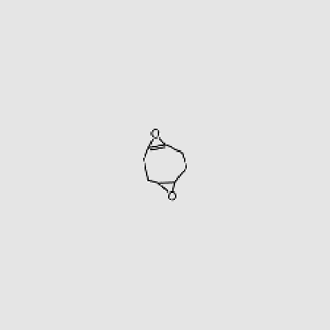 C1CC2OC2CCC2=C1O2